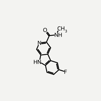 CNC(=O)c1cc2c(cn1)[nH]c1ccc(F)cc12